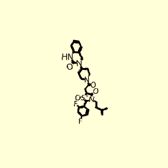 CC(C)CCN1C(=O)C(CC(=O)N2CCC(N3Cc4ccccc4NC3=O)CC2)[S+]([O-])C1c1ccc(F)cc1F